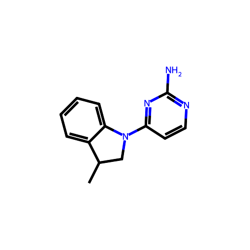 CC1CN(c2ccnc(N)n2)c2ccccc21